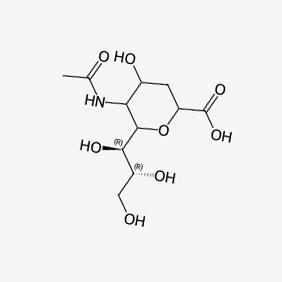 CC(=O)NC1C(O)CC(C(=O)O)OC1[C@H](O)[C@H](O)CO